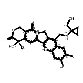 CC[C@@]1(O)C(=O)OCc2c1cc1n(c2=O)Cc2c-1nc1cc(F)c(C)cc1c2CNC1(CO)CC1